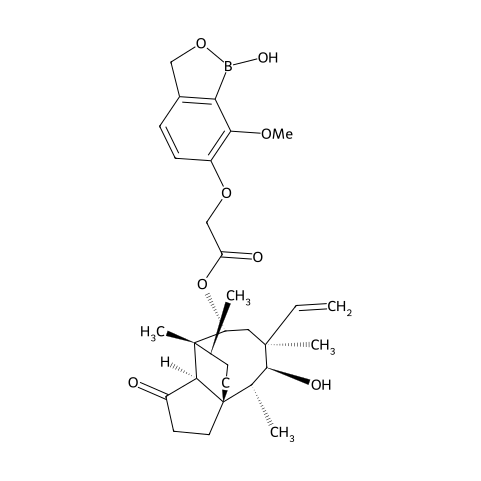 C=C[C@]1(C)C[C@@H](OC(=O)COc2ccc3c(c2OC)B(O)OC3)[C@]2(C)[C@H](C)CC[C@]3(CCC(=O)[C@H]32)[C@@H](C)[C@@H]1O